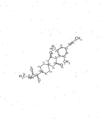 CC#Cc1cc(C)c(C2C(=O)CC3(CCN(C(=O)C(=O)NC)CC3)CC2=O)c(C)c1